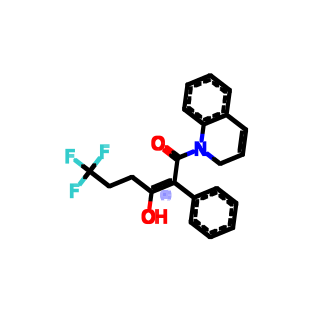 O=C(/C(=C(/O)CCC(F)(F)F)c1ccccc1)N1CC=Cc2ccccc21